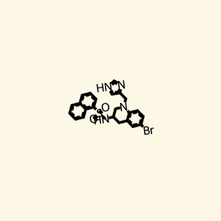 O=S(=O)(NC1Cc2cc(Br)ccc2N(Cc2c[nH]cn2)C1)c1cccc2ccccc12